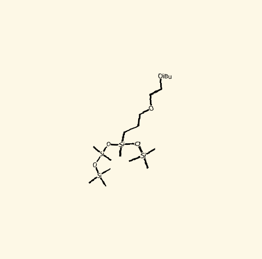 CC(C)COCCOCCC[Si](C)(O[Si](C)(C)C)O[Si](C)(C)O[Si](C)(C)C